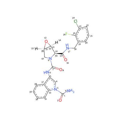 NC(=O)n1cc(NC(=O)N2C[C@H]3O[C@H]3[C@H]2C(=O)NCc2cccc(Cl)c2F)c2ccccc21